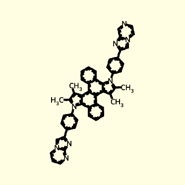 Cc1c(C)n(-c2ccc(-c3cn4ccncc4n3)cc2)c2c3ccccc3c3c4c(C)c(C)n(-c5ccc(-c6cn7cccnc7n6)cc5)c4c4ccccc4c3c12